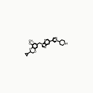 COc1cc(Cn2cnc3cc(-c4cnn(C5CCNCC5)c4)cnc32)cc2c1OC(C1CC1)CO2